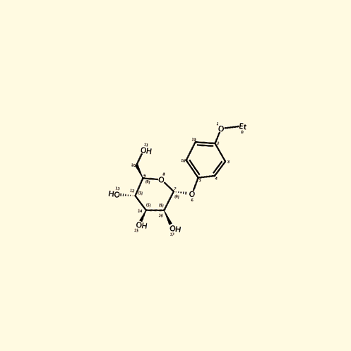 CCOc1ccc(O[C@H]2O[C@H](CO)[C@@H](O)[C@H](O)[C@@H]2O)cc1